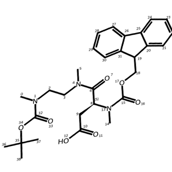 CN(CCN(C)C(=O)[C@H](CC(=O)O)N(C)C(=O)OCC1c2ccccc2-c2ccccc21)C(=O)OC(C)(C)C